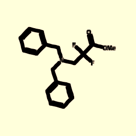 COC(=O)C(F)(F)CN(Cc1ccccc1)Cc1ccccc1